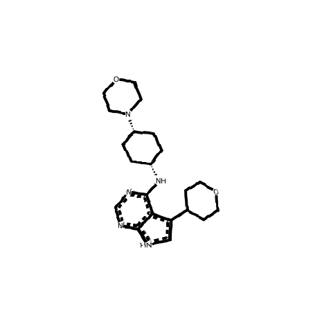 c1nc(N[C@H]2CC[C@@H](N3CCOCC3)CC2)c2c(C3CCOCC3)c[nH]c2n1